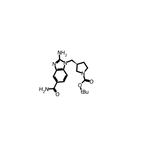 CC(C)(C)OC(=O)N1CC[C@H](Cn2c(N)nc3cc(C(N)=O)ccc32)C1